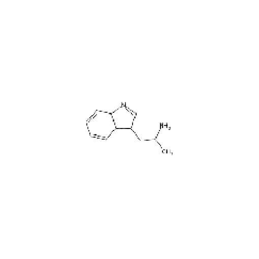 CC(N)CC1C=NC2C=CC=CC12